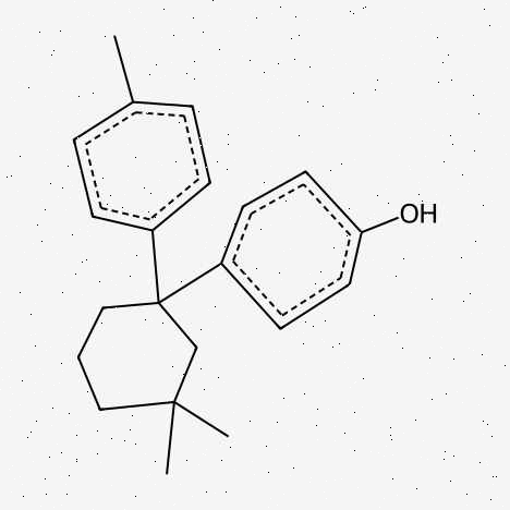 Cc1ccc(C2(c3ccc(O)cc3)CCCC(C)(C)C2)cc1